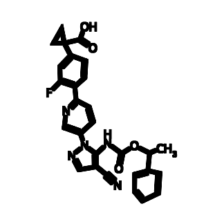 CC(OC(=O)Nc1c(C#N)cnn1-c1ccc(-c2ccc(C3(C(=O)O)CC3)cc2F)nc1)c1ccccc1